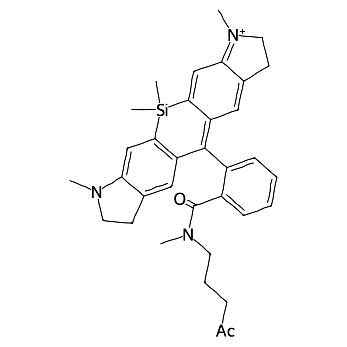 CC(=O)CCCN(C)C(=O)c1ccccc1C1=c2cc3c(cc2[Si](C)(C)c2cc4c(cc21)CCN4C)=[N+](C)CC3